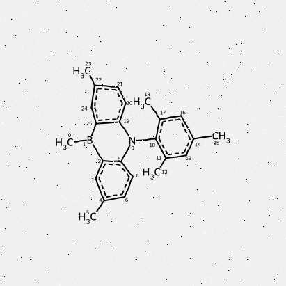 CB1c2cc(C)ccc2N(c2c(C)cc(C)cc2C)c2ccc(C)cc21